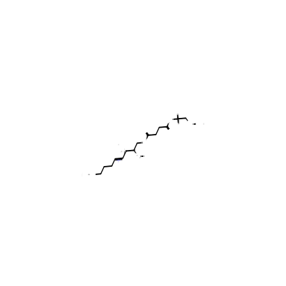 CCCCCCCCCCCCC/C=C/[C@@H](O)C(COC(=O)CCC(=O)OC(C)(C)COC(C)(C)C)NC=O